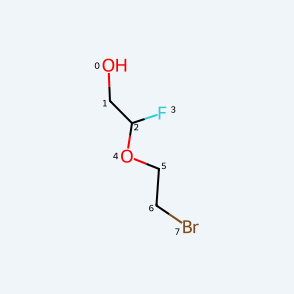 OCC(F)OCCBr